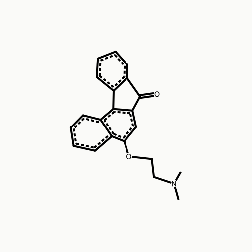 CN(C)CCOc1cc2c(c3ccccc13)-c1ccccc1C2=O